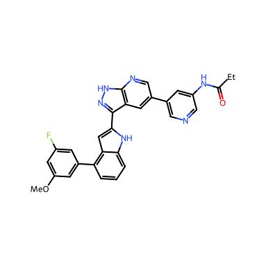 CCC(=O)Nc1cncc(-c2cnc3[nH]nc(-c4cc5c(-c6cc(F)cc(OC)c6)cccc5[nH]4)c3c2)c1